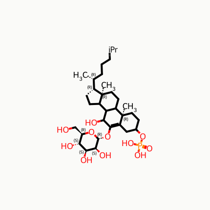 CC(C)CCC[C@@H](C)[C@H]1CCC2C3C(O)C(O[C@H]4O[C@H](CO)[C@@H](O)[C@H](O)[C@@H]4O)=C4CC(OP(=O)(O)O)CC[C@]4(C)C3CC[C@@]21C